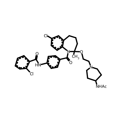 CC(=O)NC1CCN(CCOC2(C)CCCc3cc(Cl)ccc3N2C(=O)c2ccc(NC(=O)c3ccccc3Cl)cc2)CC1